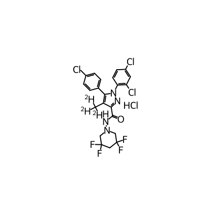 Cl.[2H]C([2H])([2H])c1c(C(=O)NN2CC(F)(F)CC(F)(F)C2)nn(-c2ccc(Cl)cc2Cl)c1-c1ccc(Cl)cc1